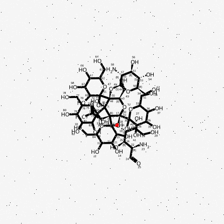 CC(=O)N[C@]1(C2(O)OC(CO)C(O)C(O)C2O)[C@@](O[C@@H]([C@H](O)[C@@H](N)C=O)[C@H](O)CO)(C2(O)OC(CO)C(O)C(O)C2O)O[C@H](CO)[C@@](O[C@@H]2O[C@H](CO)[C@@H](O)[C@H](O)[C@H]2N)(C2(O)OC(CO)C(O)C(O)C2O)[C@@]1(O)C1(O)OC(CO)C(O)C(O)C1O